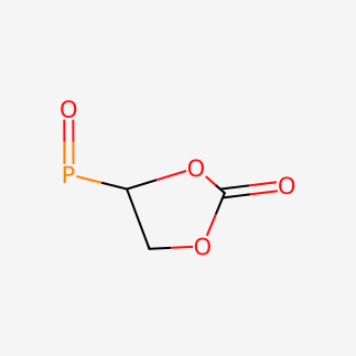 O=PC1COC(=O)O1